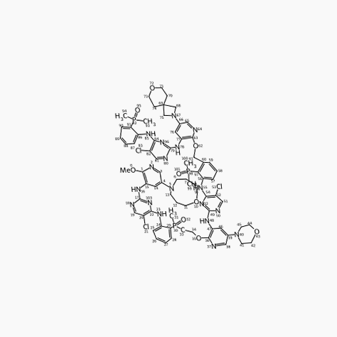 COc1ncc(N2CCCCOCCC2)cc1Nc1ncc(Cl)c(Nc2ccccc2P(C)(=O)CCOc2ncc(N3CCOCC3)cc2Nc2ncc(Cl)c(Nc3cccc(COc4ncc(N5CC6(CCOCC6)C5)cc4Nc4ncc(Cl)c(Nc5ccccc5P(C)(C)=O)n4)c3P(C)(C)=O)n2)n1